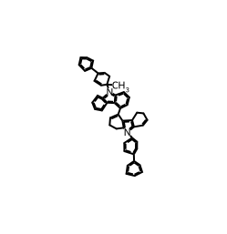 CC1(n2c3ccccc3c3c(C4=CCCc5c4c4c(n5-c5ccc(-c6ccccc6)cc5)C=CCC4)cccc32)C=CC(c2ccccc2)=CC1